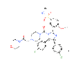 CCOc1ccc(S(=O)(=O)NC(C)(C)C)cc1C1=N[C@@H](c2ccc(Cl)cc2)[C@@H](c2ccc(Cl)cc2)N1C(=O)N1CCN(CC(=O)N2CCOCC2)CC1